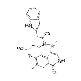 C[C@H](c1c[nH]c(=O)c2cc(F)c(F)cc12)N(CCCO)C(=O)Cc1cc2ccccc2[nH]1